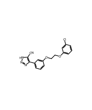 N#Cc1[nH]nnc1-c1cccc(OCCOc2cccc(Cl)c2)c1